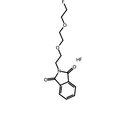 F.O=C1c2ccccc2C(=O)N1CCOCCOCCF